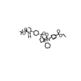 CCOC(=O)c1ccc(NC(=O)[C@@H]2[C@H](C3CCCCC3)CCN2C(=O)[C@H]2CC[C@H](C(CC)NC(=O)OC(C)(C)C)CC2)cc1